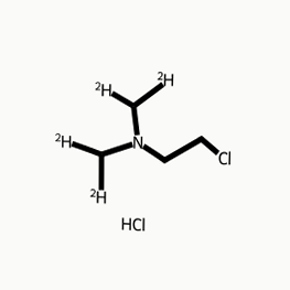 Cl.[2H]C([2H])N(CCCl)C([2H])[2H]